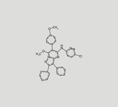 COc1ccc(-c2c(Nc3ccc(Cl)nn3)nc3c(-c4ccccc4)c(-c4ccccc4)nn3c2OC)cc1